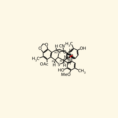 COc1c(C)cc2c(c1O)[C@H]1N[C@@H](C2)[C@H](C#N)N2C1[C@@H]1SC[C@]3(NCCc4cc(O)c(C)cc43)C(=O)OC[C@H]2c2c3c(c(C)c(OC(C)=O)c21)OCO3